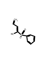 C=CC=C(C#N)S(=O)(=O)c1ccccc1